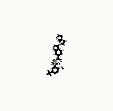 COc1ccc(C(C)(C)C)cc1S(=O)(=O)NC(=O)c1ccc2c(-n3ccn4ccnc34)csc2c1